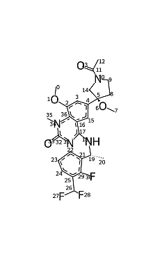 COc1cc([C@@]2(OC)CCN(C(C)=O)C2)cc2c(N[C@H](C)c3cccc(C(F)F)c3F)nc(=O)n(C)c12